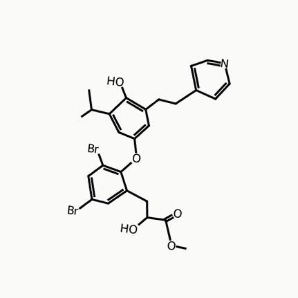 COC(=O)C(O)Cc1cc(Br)cc(Br)c1Oc1cc(CCc2ccncc2)c(O)c(C(C)C)c1